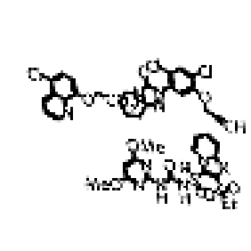 C#CCOc1cc(-n2nc3n(c2=O)CCCC3)c(Cl)cc1Cl.CCS(=O)(=O)c1nc2ccccn2c1S(=O)(=O)NC(=O)Nc1nc(OC)cc(OC)n1.O=C(O)COc1ccc(Cl)c2cccnc12